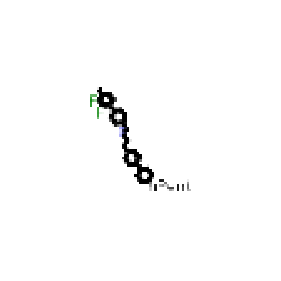 CCCCCC1CCC(C2C=CC(CC/C=C/C3CCC(c4ccc(C)c(F)c4F)CC3)CC2)CC1